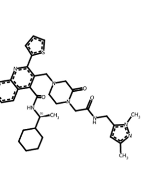 Cc1cc(CNC(=O)CN2CCN(Cc3c(-c4cccs4)nc4ccccc4c3C(=O)N[C@@H](C)C3CCCCC3)CC2=O)n(C)n1